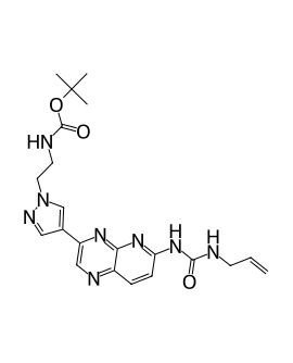 C=CCNC(=O)Nc1ccc2ncc(-c3cnn(CCNC(=O)OC(C)(C)C)c3)nc2n1